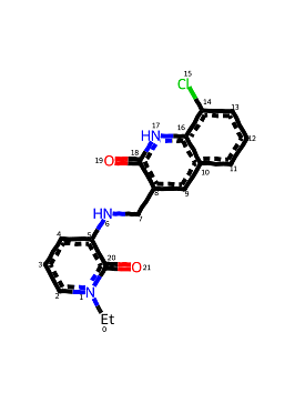 CCn1cccc(NCc2cc3cccc(Cl)c3[nH]c2=O)c1=O